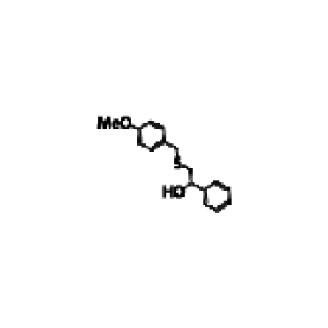 COc1ccc(CSCC(O)c2ccccc2)cc1